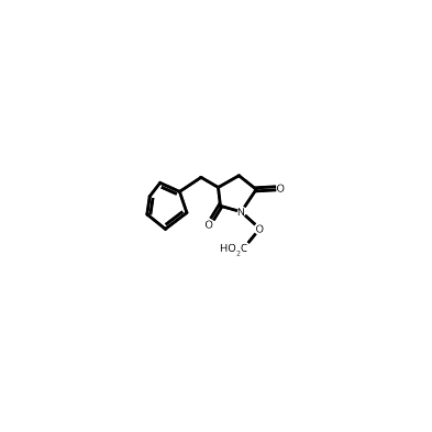 O=C(O)ON1C(=O)CC(Cc2ccccc2)C1=O